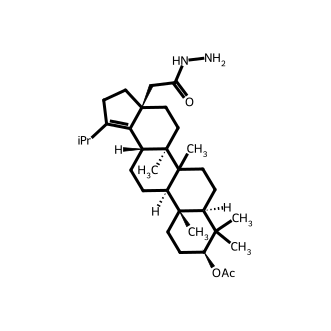 CC(=O)O[C@H]1CC[C@@]2(C)[C@@H](CCC3(C)[C@@H]2CC[C@@H]2C4=C(C(C)C)CC[C@]4(CC(=O)NN)CC[C@]23C)C1(C)C